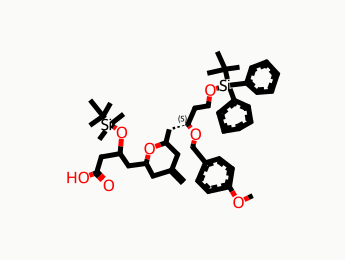 C=C1CC(CC(CC(=O)O)O[Si](C)(C)C(C)(C)C)OC(C[C@H](CCO[Si](c2ccccc2)(c2ccccc2)C(C)(C)C)OCc2ccc(OC)cc2)C1